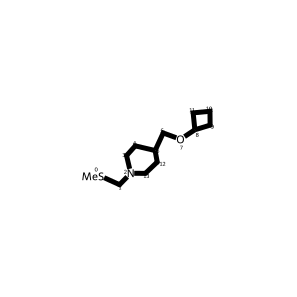 CSCN1CCC(COC2CCC2)CC1